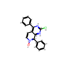 [O-][n+]1ccc2c(-c3ccccc3)nc(Cl)nc2c1-c1ccccc1